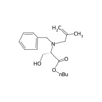 C=C(C)CN(Cc1ccccc1)[C@@H](CO)C(=O)OCCCC